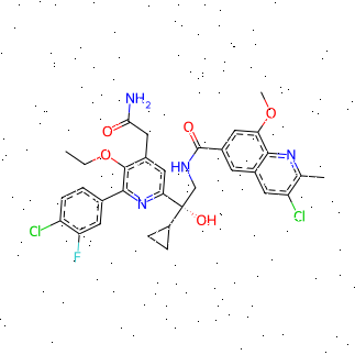 CCOc1c(CC(N)=O)cc([C@@](O)(CNC(=O)c2cc(OC)c3nc(C)c(Cl)cc3c2)C2CC2)nc1-c1ccc(Cl)c(F)c1